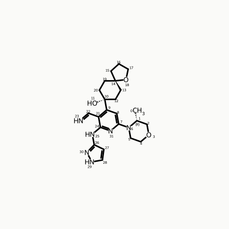 C[C@@H]1COCCN1c1cc([C@]2(O)CC[C@]3(CCCO3)CC2)c(C=N)c(Nc2cc[nH]n2)n1